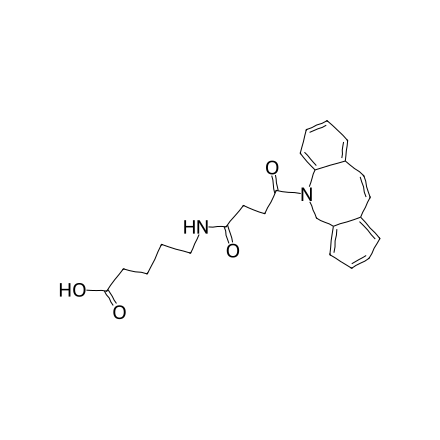 O=C(O)CCCCNC(=O)CCC(=O)N1Cc2ccccc2/C=C\c2ccccc21